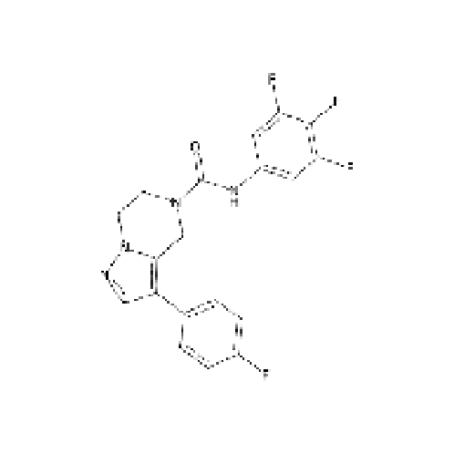 O=C(Nc1cc(F)c(F)c(F)c1)N1CCn2ncc(-c3ccc(F)cc3)c2C1